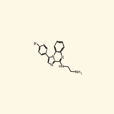 NCCNc1nc2ccccc2n2c(-c3ccc(Br)cc3)cnc12